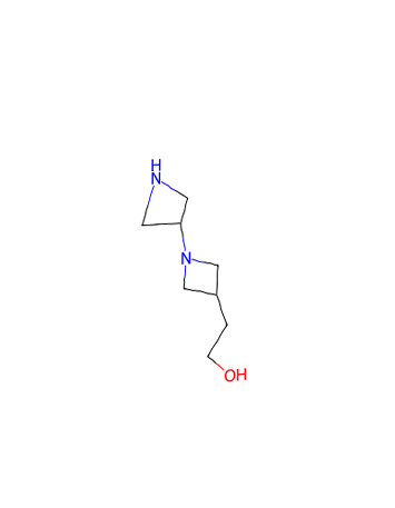 OCCC1CN(C2CNC2)C1